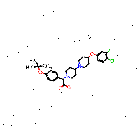 CC(C)(C)Oc1ccc(C(C(=O)O)N2CCC(N3CCC(Oc4ccc(Cl)c(Cl)c4)CC3)CC2)cc1